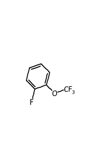 Fc1ccccc1OC(F)(F)F